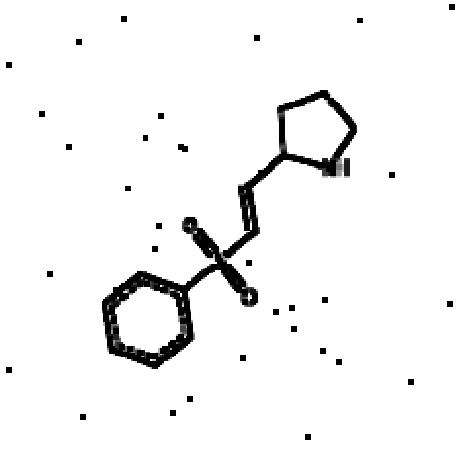 O=S(=O)(/C=C/C1CCCN1)c1ccccc1